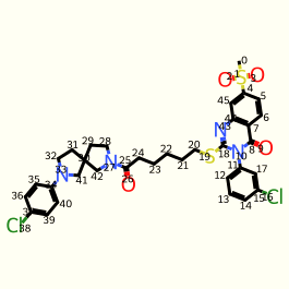 CS(=O)(=O)c1ccc2c(=O)n(-c3cccc(Cl)c3)c(SCCCCCC(=O)N3CCC4(CCN(c5ccc(Cl)cc5)C4)C3)nc2c1